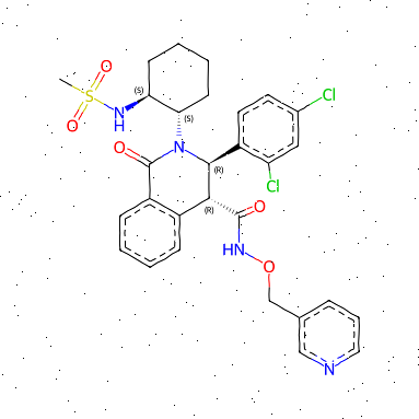 CS(=O)(=O)N[C@H]1CCCC[C@@H]1N1C(=O)c2ccccc2[C@@H](C(=O)NOCc2cccnc2)[C@@H]1c1ccc(Cl)cc1Cl